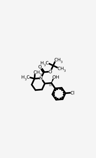 CC(C)(C)OC(=O)N1C([C@@H](O)c2cccc(Cl)c2)CCCC1(C)C